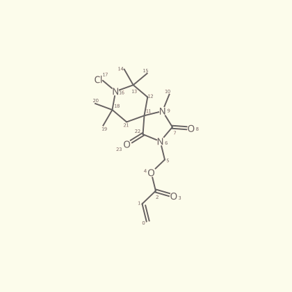 C=CC(=O)OCN1C(=O)N(C)C2(CC(C)(C)N(Cl)C(C)(C)C2)C1=O